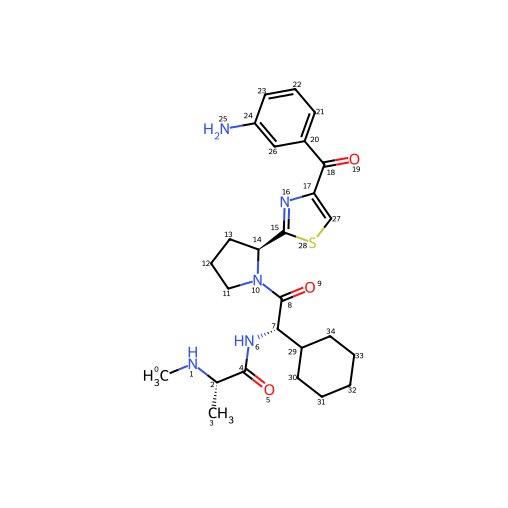 CN[C@@H](C)C(=O)N[C@H](C(=O)N1CCC[C@H]1c1nc(C(=O)c2cccc(N)c2)cs1)C1CCCCC1